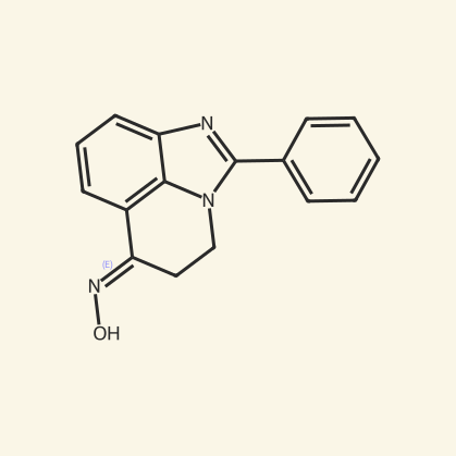 O/N=C1\CCn2c(-c3ccccc3)nc3cccc1c32